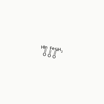 O=[SiH2].[O]=[Fe].[O]=[InH]